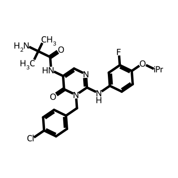 CC(C)Oc1ccc(Nc2ncc(NC(=O)C(C)(C)N)c(=O)n2Cc2ccc(Cl)cc2)cc1F